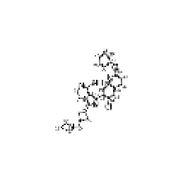 Nc1nccn2c(C3CC(CN4CCC4)C3)nc(-c3cc4nc(Oc5ccccc5)ccc4cc3Cl)c12